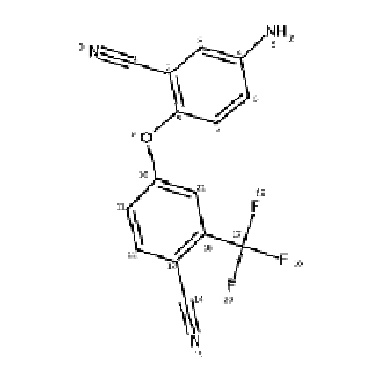 N#Cc1cc(N)ccc1Oc1ccc(C#N)c(C(F)(F)F)c1